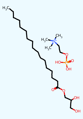 CCCCCCCCCCCCCCCCC(=O)OCC(O)CO.C[N+](C)(C)CCOP(=O)(O)O